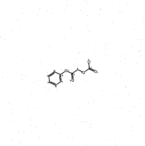 O=C(Cl)OCC(=O)Oc1ccccc1